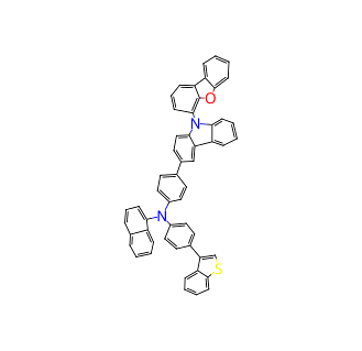 c1ccc2c(N(c3ccc(-c4ccc5c(c4)c4ccccc4n5-c4cccc5c4oc4ccccc45)cc3)c3ccc(-c4csc5ccccc45)cc3)cccc2c1